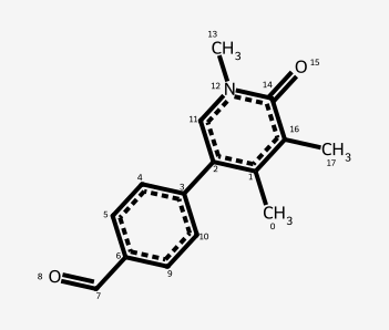 Cc1c(-c2ccc(C=O)cc2)cn(C)c(=O)c1C